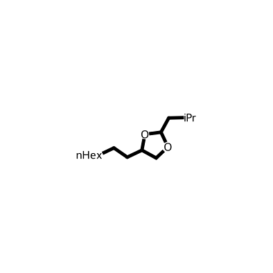 CCCCCCCCC1COC(CC(C)C)O1